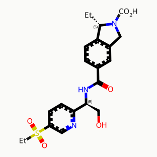 CC[C@H]1c2ccc(C(=O)N[C@@H](CO)c3ccc(S(=O)(=O)CC)cn3)cc2CN1C(=O)O